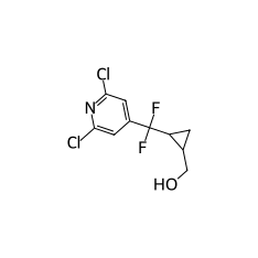 OCC1CC1C(F)(F)c1cc(Cl)nc(Cl)c1